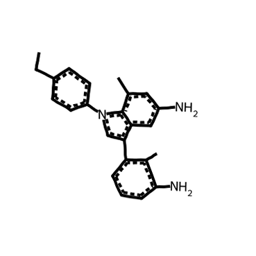 CCc1ccc(-n2cc(-c3cccc(N)c3C)c3cc(N)cc(C)c32)cc1